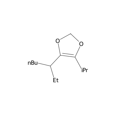 CCCCC(CC)C1=C(C(C)C)OCO1